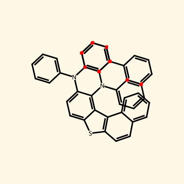 c1ccc(-c2ccccc2N(c2ccccc2)c2c(N(c3ccccc3)c3ccccc3)ccc3sc4ccc5ccccc5c4c23)cc1